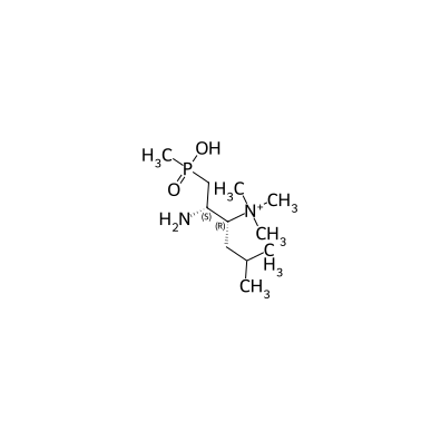 CC(C)C[C@H]([C@H](N)CP(C)(=O)O)[N+](C)(C)C